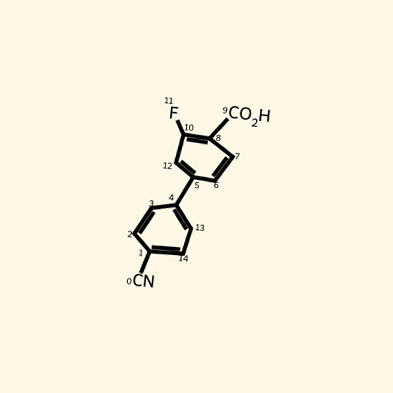 N#Cc1ccc(-c2ccc(C(=O)O)c(F)c2)cc1